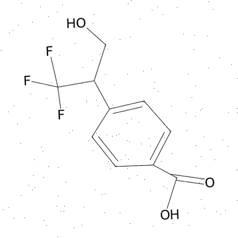 O=C(O)c1ccc(C(CO)C(F)(F)F)cc1